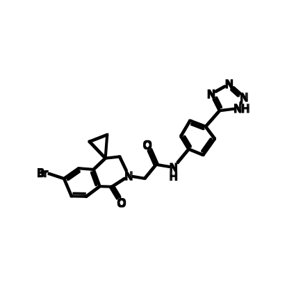 O=C(CN1CC2(CC2)c2cc(Br)ccc2C1=O)Nc1ccc(-c2nnn[nH]2)cc1